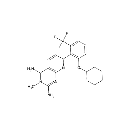 CN1C(N)=Nc2nc(-c3c(OC4CCCCC4)cccc3C(F)(F)F)ccc2C1N